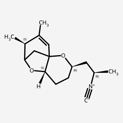 [C-]#[N+][C@H](C)C[C@H]1CC[C@@H]2OC3CC2(C=C(C)[C@@H]3C)O1